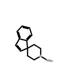 CNN1CCC2(C=Cc3ccccc32)CC1